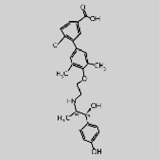 Cc1cc(-c2cc(C(=O)O)ccc2Cl)cc(C)c1OCCN[C@H](C)[C@@H](O)c1ccc(O)cc1